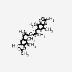 CC(=O)Oc1c(C)cc(CC(C)=COC=C(C)Cc2cc(C)c(OC(C)=O)c(C)c2C)c(C)c1C